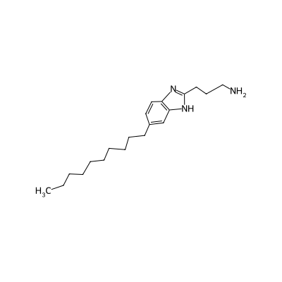 CCCCCCCCCCc1ccc2nc(CCCN)[nH]c2c1